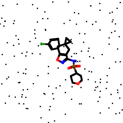 O=S(=O)(Nc1noc2c1CC1(CC1)c1ccc(Br)cc1-2)C1CCOCC1